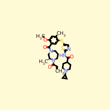 C=CC(=O)N1CCCN(C(=O)c2cc(Sc3cnc(NC(=O)C4CCN(C5CC5)CC4)s3)c(C)cc2OC)C[C@H]1C